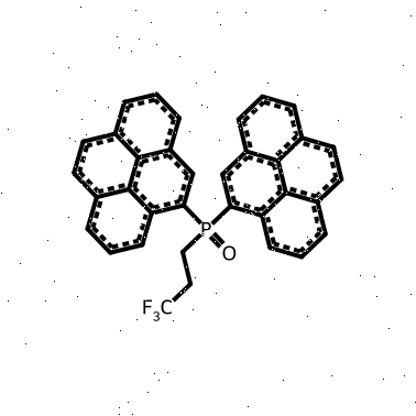 O=P(CCC(F)(F)F)(c1cc2cccc3ccc4cccc1c4c32)c1cc2cccc3ccc4cccc1c4c32